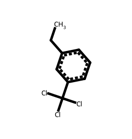 CCc1cccc(C(Cl)(Cl)Cl)c1